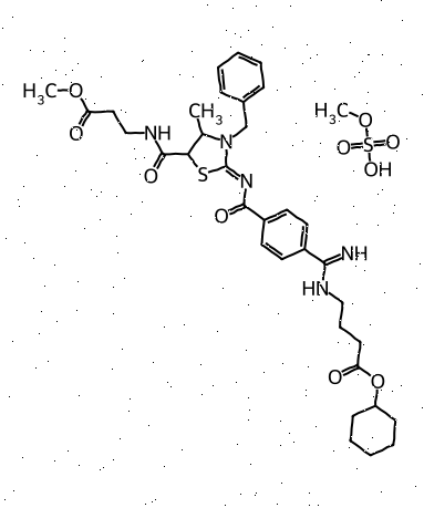 COC(=O)CCNC(=O)C1SC(=NC(=O)c2ccc(C(=N)NCCCC(=O)OC3CCCCC3)cc2)N(Cc2ccccc2)C1C.COS(=O)(=O)O